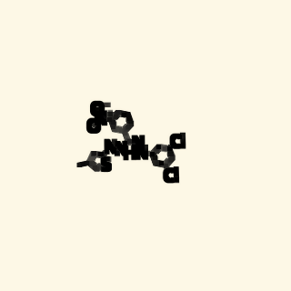 Cc1csc(N=NC(=NNc2cc(Cl)cc(Cl)c2)c2cccc([N+](=O)[O-])c2)c1